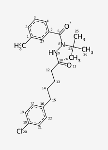 Cc1cccc(C(=O)N(NC(=O)CCCCc2ccc(Cl)cc2)C(C)(C)C)c1